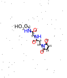 O=C(O)CNC(=O)CNC(=O)CCN1C(=O)C=CC1=O